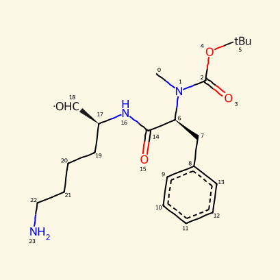 CN(C(=O)OC(C)(C)C)[C@@H](Cc1ccccc1)C(=O)N[C@H]([C]=O)CCCCN